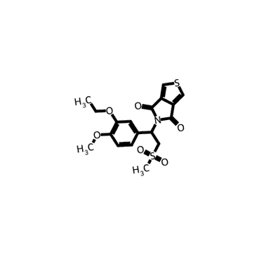 CCOc1cc(C(CS(C)(=O)=O)N2C(=O)c3cscc3C2=O)ccc1OC